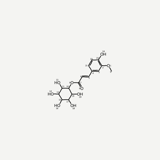 COc1cc(C=CC(=O)OC2C(O)C(O)C(O)C(O)C2O)ccc1O